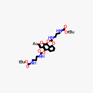 CC(=O)c1cc2c(OC(=O)NCCCNC(=O)OC(C)(C)C)c3ccccc3c(OC(=O)NCCCNC(=O)OC(C)(C)C)c2o1